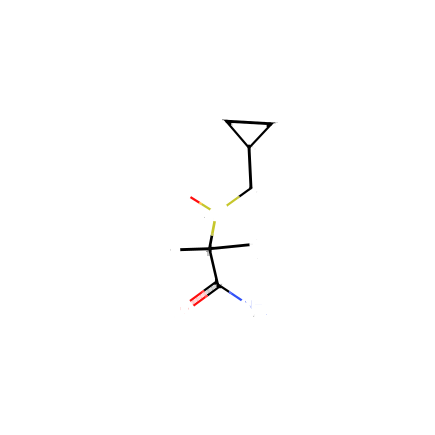 CC(C)(C(N)=O)[S+]([O-])CC1CC1